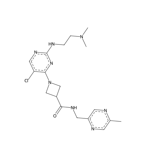 Cc1cnc(CNC(=O)C2CN(c3nc(NCCN(C)C)ncc3Cl)C2)cn1